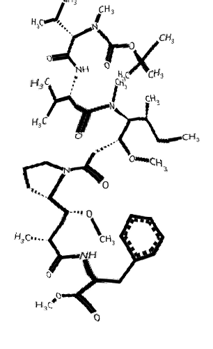 CC[C@H](C)[C@@H]([C@@H](CC(=O)N1CCC[C@H]1[C@H](OC)[C@@H](C)C(=O)NC(Cc1ccccc1)C(=O)OC)OC)N(C)C(=O)[C@@H](NC(=O)[C@H](C(C)C)N(C)C(=O)OC(C)(C)C)C(C)C